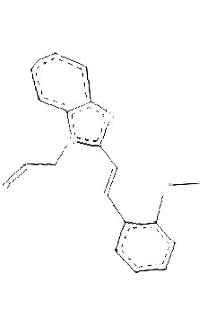 C=CCn1c(/C=C/c2ccccc2OC)nc2ccccc21